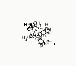 COCC(C)(C)c1c([C@H]2CC[C@](OC)(C(=O)O)CC2)c2cc3[nH]ncc3cc2n1-c1ccc(F)c(OC)c1